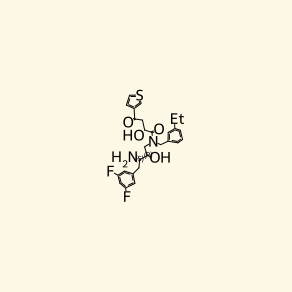 CCc1cccc(CN(C[C@@H](O)[C@@H](N)Cc2cc(F)cc(F)c2)C(=O)C(O)CC(=O)c2ccsc2)c1